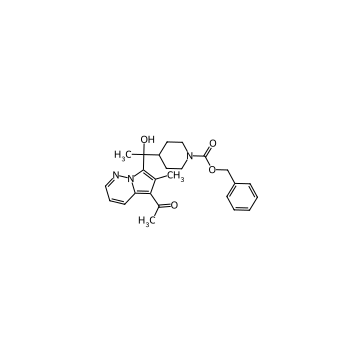 CC(=O)c1c(C)c(C(C)(O)C2CCN(C(=O)OCc3ccccc3)CC2)n2ncccc12